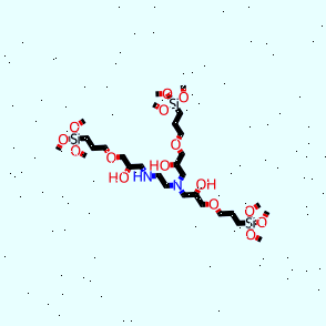 CO[Si](CCCOCC(O)CNCCN(CC(O)COCCC[Si](OC)(OC)OC)CC(O)COCCC[Si](OC)(OC)OC)(OC)OC